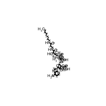 CCCCSSCCNC(=O)CCNC(=O)[C@@H](O)C(C)(C)COP(=O)(O)OP(=O)(O)OC[C@H]1O[C@@H](n2cnc3c(N)ccnc32)C(O)[C@H]1OP(=O)(O)O